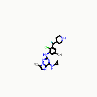 N#Cc1cc(Nc2nc(NC3CC3)c3ncc(C#N)n3n2)c(Cl)c(C(F)C2CCNCC2)c1